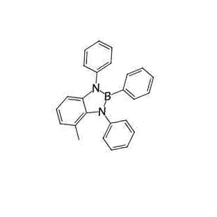 Cc1cccc2c1N(c1ccccc1)B(c1ccccc1)N2c1ccccc1